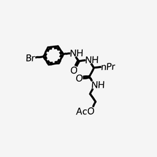 CCCC(NC(=O)Nc1ccc(Br)cc1)C(=O)NCCOC(C)=O